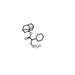 O=C(OC12CC3CC(CC(C3)C1)C2)C(CS(=O)(=O)O)C1CCCCC1